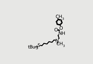 Cc1ccc(OC(=O)NCCN(C)CCCCCCSSC(C)(C)C)cc1